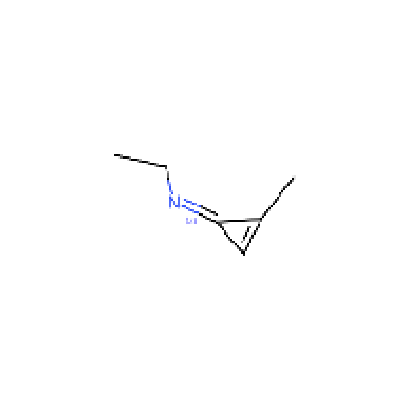 CC/N=c1/cc1C